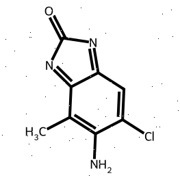 Cc1c(N)c(Cl)cc2c1=NC(=O)N=2